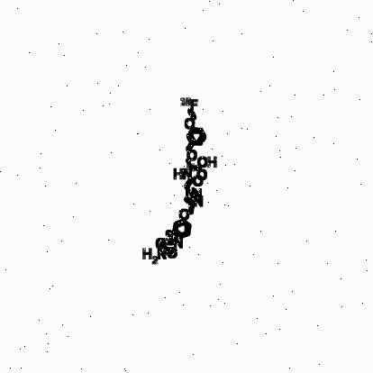 NS(=O)(=O)c1nc2ccc(OCc3cn(CC(=O)N[C@@H](COCc4cccc(OCC[18F])c4)C(=O)O)nn3)cc2s1